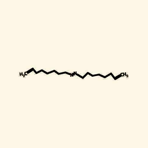 C=CCCCCCCN=NCCCCCCC=C